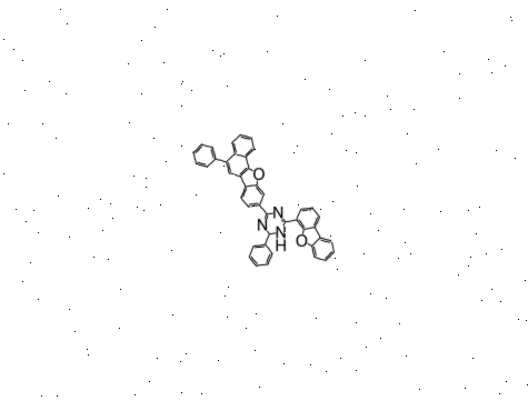 c1ccc(-c2cc3c4ccc(C5=NC(c6ccccc6)NC(c6cccc7c6oc6ccccc67)=N5)cc4oc3c3ccccc23)cc1